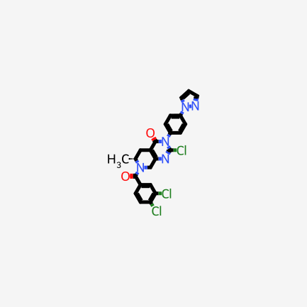 C[C@@H]1Cc2c(nc(Cl)n(-c3ccc(-n4cccn4)cc3)c2=O)CN1C(=O)c1ccc(Cl)c(Cl)c1